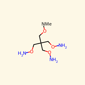 CNOCC(CON)(CON)CON